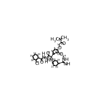 CN(C)C(=O)COc1ccc2cc1OCNC(=N)c1ccc(cc1)NC2C(=O)NNC(=O)c1ccccc1Cl